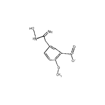 COc1ccc(C(=N)NO)cc1[N+](=O)[O-]